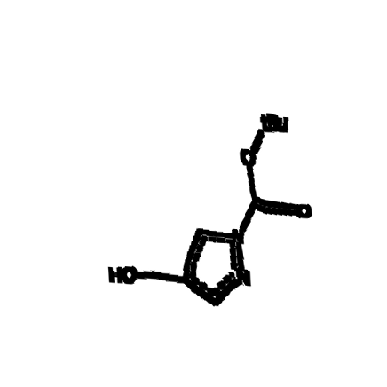 CC(C)(C)OC(=O)n1cc(O)cn1